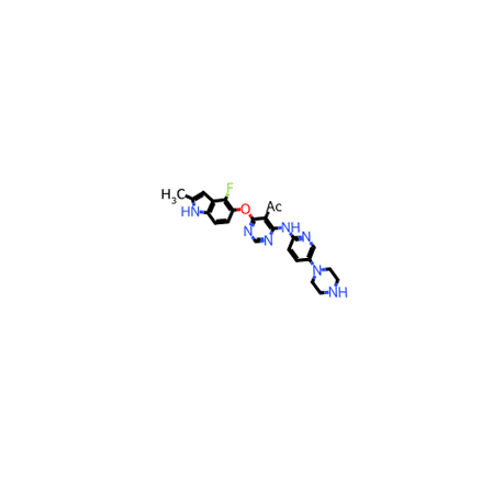 CC(=O)c1c(Nc2ccc(N3CCNCC3)cn2)ncnc1Oc1ccc2[nH]c(C)cc2c1F